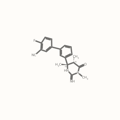 C[C@@H]1C(=O)N(C)C(=N)N[C@]1(C)c1cccc(-c2ccc(F)c(C#N)c2)c1